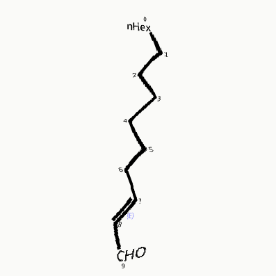 CCCCCCCCCCCC/C=C/C=O